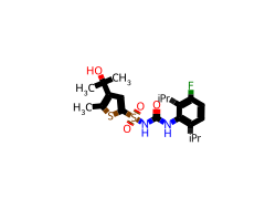 Cc1sc(S(=O)(=O)NC(=O)Nc2c(C(C)C)ccc(F)c2C(C)C)cc1C(C)(C)O